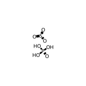 O=P(O)(O)O.O=S(=O)=O